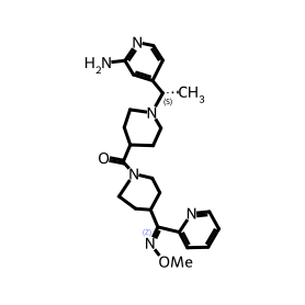 CO/N=C(\c1ccccn1)C1CCN(C(=O)C2CCN([C@@H](C)c3ccnc(N)c3)CC2)CC1